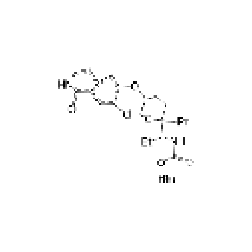 CCC(NC(=O)OC(C)(C)C)C1(C(C)C)CCC(Oc2cc3cc[nH]c(=O)c3cc2Cl)CC1